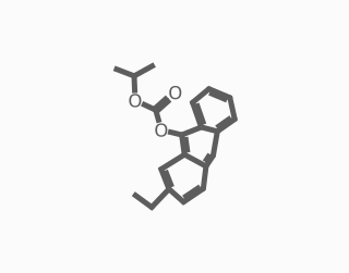 CCc1ccc2cc3ccccc3c(OC(=O)OC(C)C)c2c1